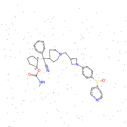 CNC(=O)O[C@H]1CCC[C@@H]1C(C#N)(c1ccccc1)C1CCN(CC2CN(c3ccc([S+]([O-])c4ccncc4)cc3)C2)CC1